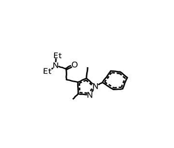 CCN(CC)C(=O)Cc1c(C)nn(-c2ccccc2)c1C